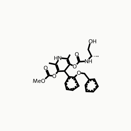 COC(=O)OC1=C(C)NC(C)=C(OC(=O)N[C@@H](C)CO)C1c1ccccc1OCc1ccccc1